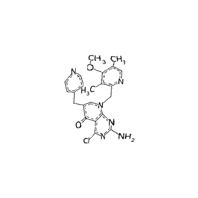 COc1c(C)cnc(Cn2cc(Cc3ccncc3)c(=O)c3c(Cl)nc(N)nc32)c1C